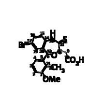 COc1cccc([C@@H]2O[C@@H](CC(=O)O)C(=S)Nc3ccc(Br)cc32)c1C